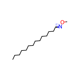 CCCCCCCCCCCCC/C=N/OC